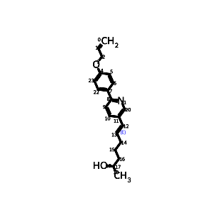 C=CCOc1ccc(-c2ccc(/C=C/CCCC(C)O)cn2)cc1